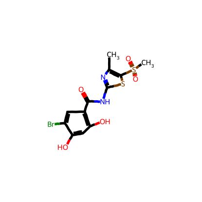 Cc1nc(NC(=O)c2cc(Br)c(O)cc2O)sc1S(C)(=O)=O